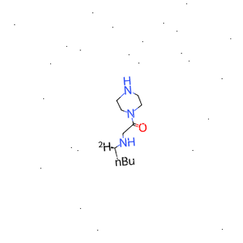 [2H][C@H](CCCC)NCC(=O)N1CCNCC1